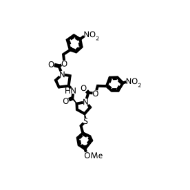 COc1ccc(CS[C@H]2C[C@@H](C(=O)NC3CCN(C(=O)OCc4ccc([N+](=O)[O-])cc4)C3)N(C(=O)OCc3ccc([N+](=O)[O-])cc3)C2)cc1